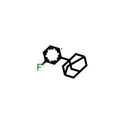 Fc1cc[c]c(C23CC4CC(CC(C4)C2)C3)c1